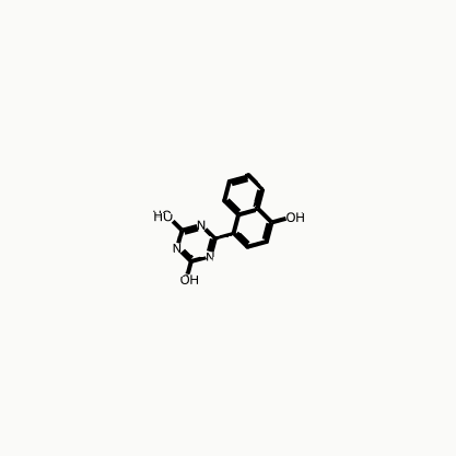 Oc1nc(O)nc(-c2ccc(O)c3ccccc23)n1